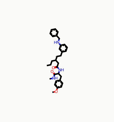 CCCC([CH]Cc1cccc(NCc2ccccc2)c1)CC(=O)NC(Cc1ccc(OC)cc1)C(=O)NC